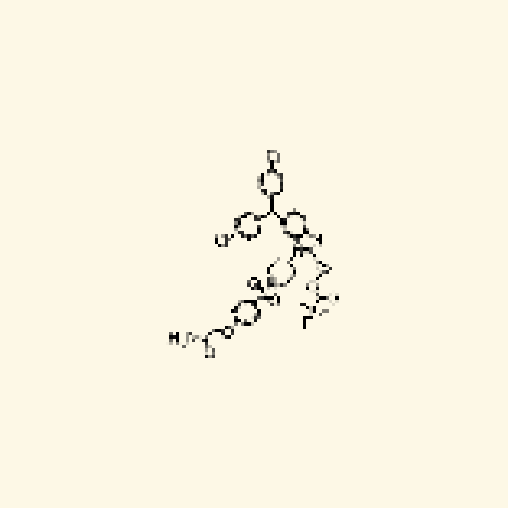 NC(=O)COc1ccc(S(=O)(=O)N2CCC(n3c(C4CC4OC(=O)C(F)(F)F)nc4ccc(C(c5ccc(Cl)cc5)c5ccc(Cl)cc5)cc43)CC2)cc1